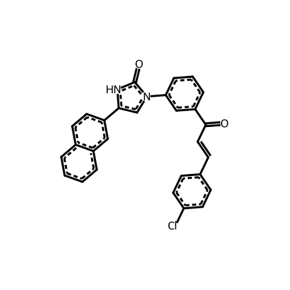 O=C(/C=C/c1ccc(Cl)cc1)c1cccc(-n2cc(-c3ccc4ccccc4c3)[nH]c2=O)c1